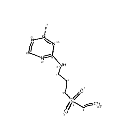 C=CS(=O)(=O)CCCNc1n[c]nc(F)n1